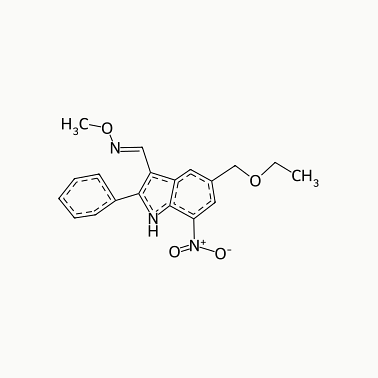 CCOCc1cc([N+](=O)[O-])c2[nH]c(-c3ccccc3)c(C=NOC)c2c1